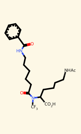 CC(=O)NCCCCC(C(=O)O)N(C(=O)CCCCCNC(=O)c1ccccc1)C(F)(F)F